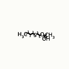 CCCCSCCOC(C)O